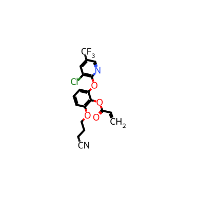 C=CC(=O)Oc1c(OCCCC#N)cccc1Oc1ncc(C(F)(F)F)cc1Cl